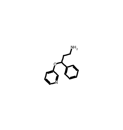 NCCC(Oc1cccnc1)c1ccccc1